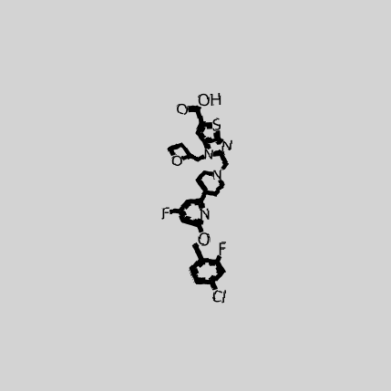 O=C(O)c1cc2c(nc(CN3CC=C(c4cc(F)cc(OCc5ccc(Cl)cc5F)n4)CC3)n2CC2CCO2)s1